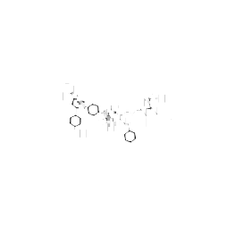 Cc1ccc(-c2cc(C(F)(F)F)nn2-c2ccc(S(=O)(=O)NC(=O)C(CCCNC(N)=NO)NC(=O)c3ccccc3)cc2)cc1